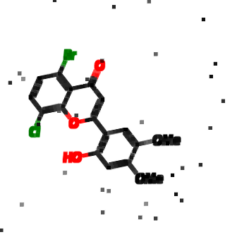 COc1cc(O)c(-c2cc(=O)c3c(Br)ccc(Cl)c3o2)cc1OC